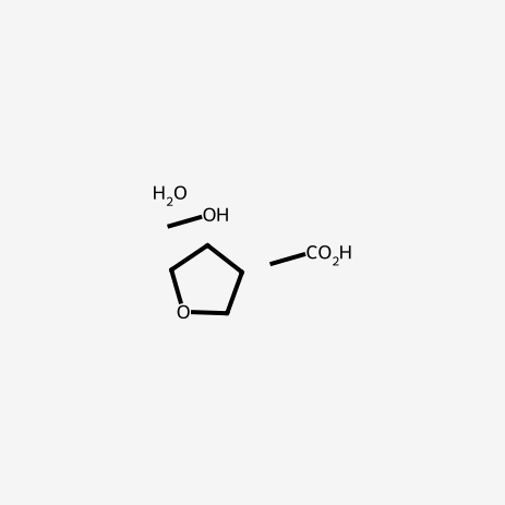 C1CCOC1.CC(=O)O.CO.O